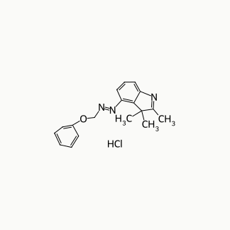 CC1=Nc2cccc(N=NCOc3ccccc3)c2C1(C)C.Cl